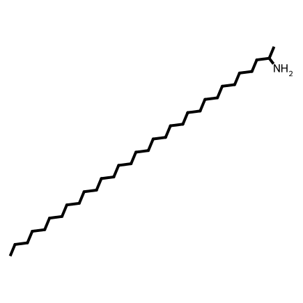 CCCCCCCCCCCCCCCCCCCCCCCCCCCCCCC(C)N